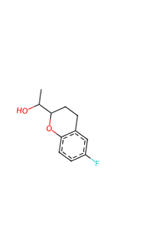 CC(O)C1CCc2cc(F)ccc2O1